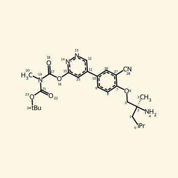 CC(C)C[C@](C)(N)COc1ccc(-c2cnnc(OC(=O)N(C)C(=O)OC(C)(C)C)c2)cc1C#N